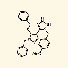 COc1ccc(CN2NNN=C2c2cnn(Cc3ccccc3)c2SCc2ccccc2)cc1